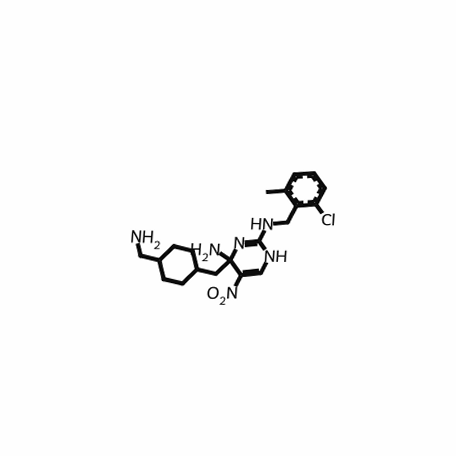 Cc1cccc(Cl)c1CNC1=NC(N)(CC2CCC(CN)CC2)C([N+](=O)[O-])=CN1